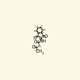 CC(=O)CC(=O)NN1C(=O)c2ccccc2C1=O